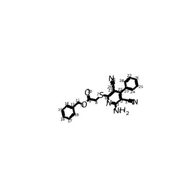 N#Cc1c(N)nc(SCC(=O)OCc2ccccc2)c(C#N)c1-c1ccccc1